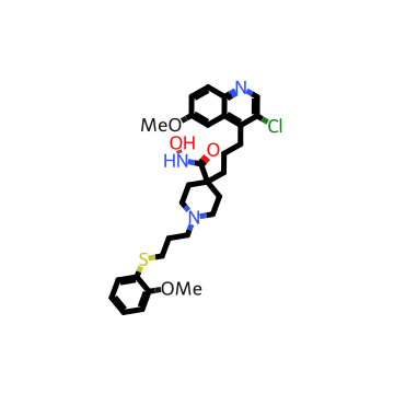 COc1ccc2ncc(Cl)c(CCCC3(C(=O)NO)CCN(CCCSc4ccccc4OC)CC3)c2c1